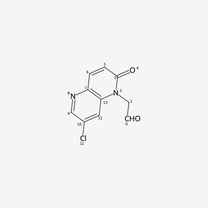 O=CCn1c(=O)ccc2ncc(Cl)cc21